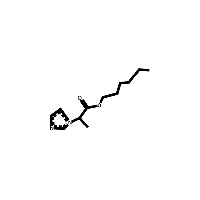 CCCCCCOC(=O)C(C)n1ccnc1